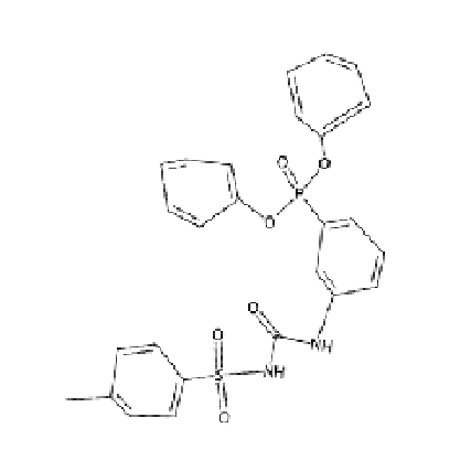 Cc1ccc(S(=O)(=O)NC(=O)Nc2cccc(P(=O)(Oc3ccccc3)Oc3ccccc3)c2)cc1